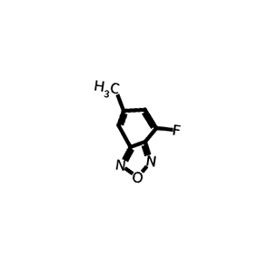 Cc1cc(F)c2nonc2c1